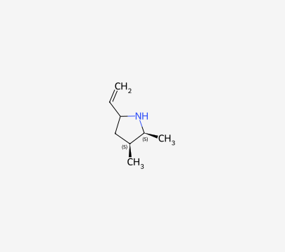 C=CC1C[C@H](C)[C@H](C)N1